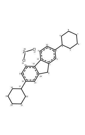 [CH]1c2cc(C3CCCCC3)ccc2-c2ccc(C3CCCCC3)cc21.[Cl][Zr][Cl]